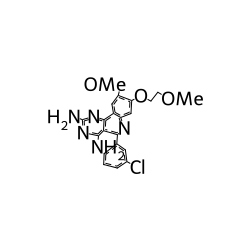 COCCOc1cc2nc(-c3cccc(Cl)c3)c3c(N)nc(N)nc3c2cc1OC